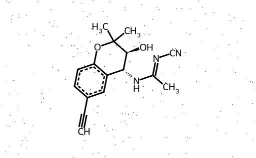 C#Cc1ccc2c(c1)[C@@H](NC(C)=NC#N)[C@H](O)C(C)(C)O2